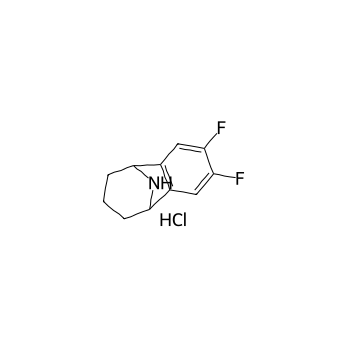 Cl.Fc1cc2c(cc1F)C1CCCC2N1